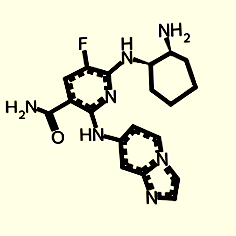 NC(=O)c1cc(F)c(N[C@@H]2CCCC[C@@H]2N)nc1Nc1ccn2ccnc2c1